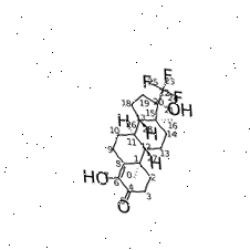 C[C@]12CCC(=O)C(O)=C1CC[C@@H]1[C@@H]2CC[C@@]2(C)[C@H]1CC[C@@]2(O)C(F)(F)F